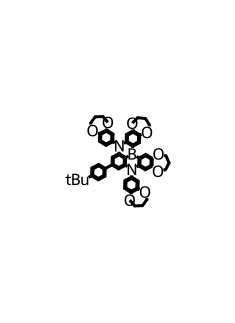 CC(C)(C)c1ccc(-c2cc3c4c(c2)N(c2ccc5c(c2)OCCCO5)c2cc5c(cc2B4c2cc4c(cc2N3c2ccc3c(c2)OCCCO3)OCCCO4)OCCCO5)cc1